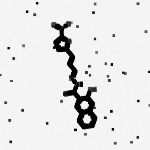 O=C(NN=CC=Cc1ccc([N+](=O)[O-])o1)c1cc2ccccc2cc1O